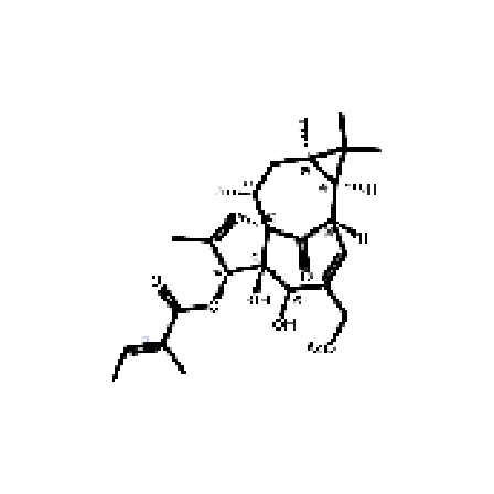 C/C=C(\C)C(=O)O[C@H]1C(C)=C[C@]23C(=O)[C@@H](C=C(COC(C)=O)[C@@H](O)[C@]12O)[C@H]1[C@@H](C[C@H]3C)C1(C)C